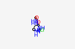 O=C(NCc1ccco1)Nc1ccc2cc1CCC1C=CC=C(C1)Nc1ncc(Cl)c(n1)N2